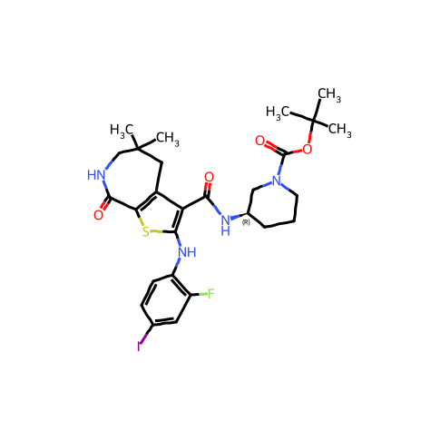 CC1(C)CNC(=O)c2sc(Nc3ccc(I)cc3F)c(C(=O)N[C@@H]3CCCN(C(=O)OC(C)(C)C)C3)c2C1